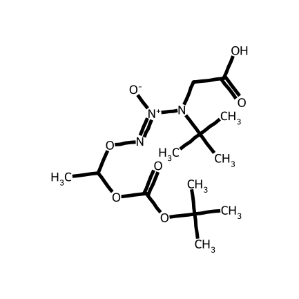 CC(ON=[N+]([O-])N(CC(=O)O)C(C)(C)C)OC(=O)OC(C)(C)C